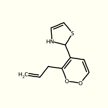 C=CCC1=C(C2NC=CS2)C=COO1